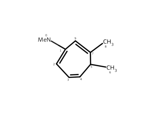 CNC1=CC=CC(C)C(C)=C1